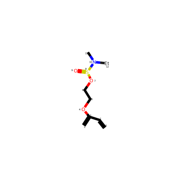 C=CC(=C)OCCOS(=O)N(C)CC